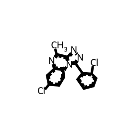 Cc1nc2cc(Cl)ccc2n2c(-c3ccccc3Cl)nnc12